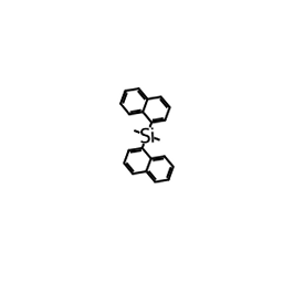 C[Si](C)(c1cccc2ccccc12)c1cccc2ccccc12